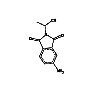 CC(C#N)N1C(=O)c2ccc(N)cc2C1=O